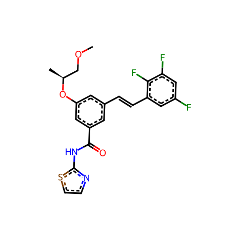 COC[C@H](C)Oc1cc(C=Cc2cc(F)cc(F)c2F)cc(C(=O)Nc2nccs2)c1